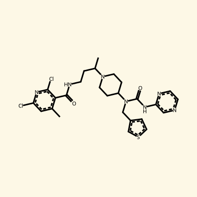 Cc1cc(Cl)nc(Cl)c1C(=O)NCCC(C)N1CCC(N(Cc2ccsc2)C(=O)Nc2cnccn2)CC1